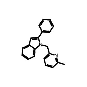 Cc1cccc(Cn2c(-c3ccccc3)cc3ccccc32)n1